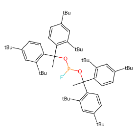 CC(C)(C)c1ccc(C(C)(OP(F)OC(C)(c2ccc(C(C)(C)C)cc2C(C)(C)C)c2ccc(C(C)(C)C)cc2C(C)(C)C)c2ccc(C(C)(C)C)cc2C(C)(C)C)c(C(C)(C)C)c1